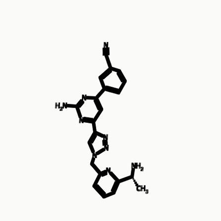 C[C@@H](N)c1cccc(Cn2cc(-c3cc(-c4cccc(C#N)c4)nc(N)n3)nn2)n1